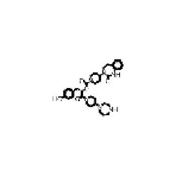 O=C(O[C@H](Cc1ccc(O)cc1)C(=O)N1CCC(N2CCCNCC2)CC1)N1CCC(N2CCc3ccccc3NC2=O)CC1